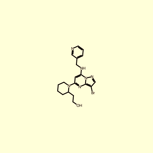 OCCC1CCCCN1c1cc(NCc2cccnc2)n2ncc(Br)c2n1